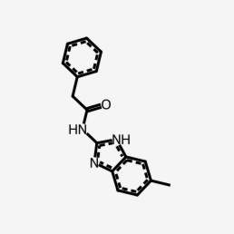 Cc1ccc2nc(NC(=O)Cc3ccccc3)[nH]c2c1